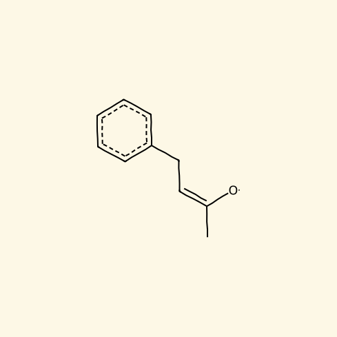 CC([O])=CCc1ccccc1